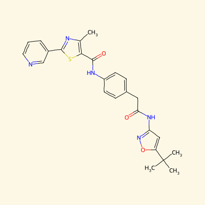 Cc1nc(-c2cccnc2)sc1C(=O)Nc1ccc(CC(=O)Nc2cc(C(C)(C)C)on2)cc1